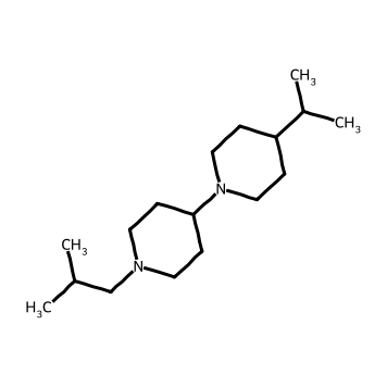 CC(C)CN1CCC(N2CCC(C(C)C)CC2)CC1